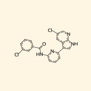 O=C(Nc1cccc(-c2c[nH]c3ncc(Cl)cc23)n1)c1cccc(Cl)c1